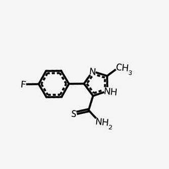 Cc1nc(-c2ccc(F)cc2)c(C(N)=S)[nH]1